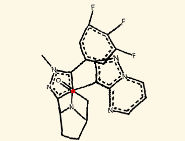 Cn1nc2c(c1-c1cc(F)c(F)c(F)c1)CC1CCC2N1C(=O)c1cnn2cccnc12